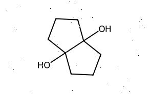 OC12CCCC1(O)CCC2